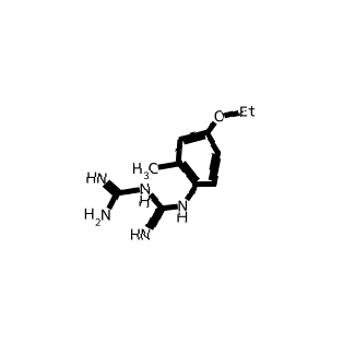 CCOc1ccc(NC(=N)NC(=N)N)c(C)c1